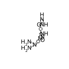 NCCCN(CCCN)Cc1ccc(-n2cc3cc(-c4ccc(C(=O)NC5CCNCC5)cc4)[nH]c3nc2=O)cc1